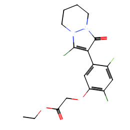 CCOC(=O)COc1cc(-c2c(Cl)n3n(c2=O)CCCC3)c(F)cc1Cl